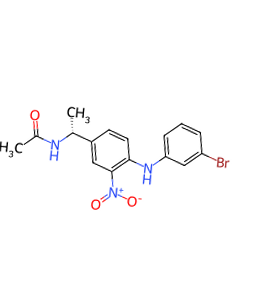 CC(=O)N[C@H](C)c1ccc(Nc2cccc(Br)c2)c([N+](=O)[O-])c1